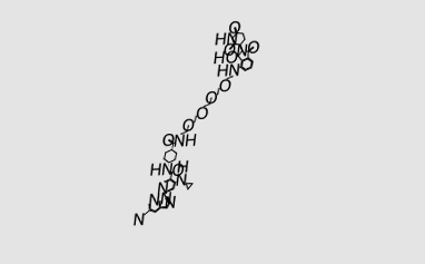 N#Cc1cnc2c(cnn2-c2cc(NC3CC3)c(C(=O)N[C@H]3CC[C@H](C(=O)NCCOCCOCCOCCOCCNc4cccc5c4C(O)N(C4CCC(=O)NC4=O)C5=O)CC3)cn2)c1